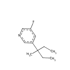 CCC(C)(CC)c1cncc(F)c1